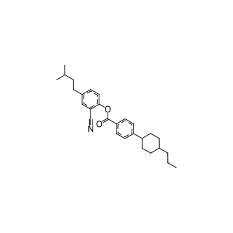 CCCC1CCC(c2ccc(C(=O)Oc3ccc(CCC(C)C)cc3C#N)cc2)CC1